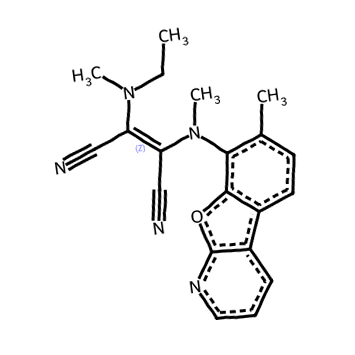 CCN(C)/C(C#N)=C(/C#N)N(C)c1c(C)ccc2c1oc1ncccc12